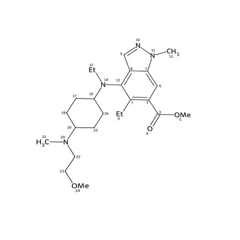 CCc1c(C(=O)OC)cc2c(cnn2C)c1N(CC)C1CCC(N(C)CCOC)CC1